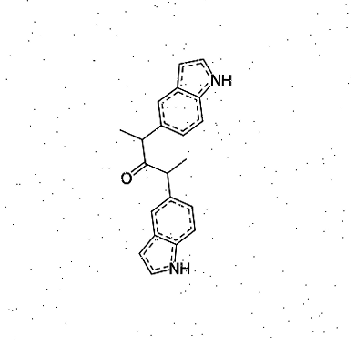 CC(C(=O)C(C)c1ccc2[nH]ccc2c1)c1ccc2[nH]ccc2c1